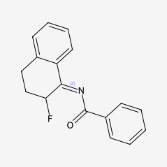 O=C(/N=C1/c2ccccc2CCC1F)c1ccccc1